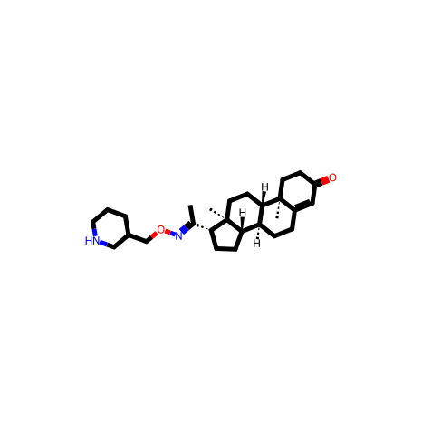 C/C(=N\OCC1CCCNC1)[C@H]1CC[C@H]2[C@@H]3CCC4=CC(=O)CC[C@]4(C)[C@H]3CC[C@]12C